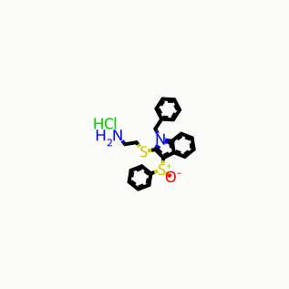 Cl.NCCSc1c([S+]([O-])c2ccccc2)c2ccccc2n1Cc1ccccc1